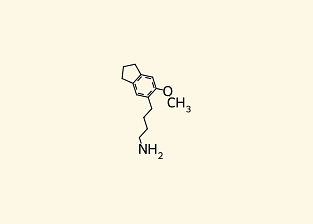 COc1cc2c(cc1CCCCN)CCC2